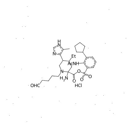 CCC1CC(N)(C(=O)OS(=O)(=O)c2cccc(C3CCCC3)c2NC(C)=O)N(CCCCC=O)CC1c1nc[nH]c1C.Cl